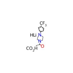 O=C(O)CC(=O)N1CCN(c2ccc(C(F)(F)F)cc2)CC1.[LiH]